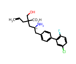 C=CCC(CO)(C[C@@H](N)Cc1ccc(-c2cc(Cl)ccc2F)cc1)C(=O)O